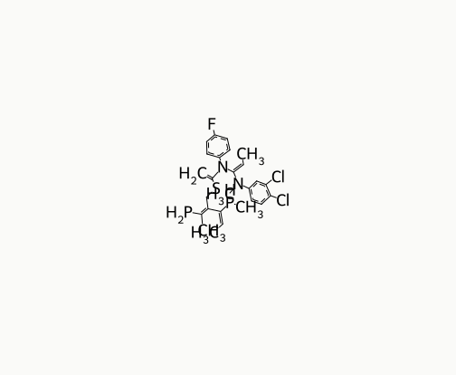 C=C(SCC(=C(/C)P)/C(=C\C)PC)N(/C(=C\C)N(C)c1ccc(Cl)c(Cl)c1)c1ccc(F)cc1